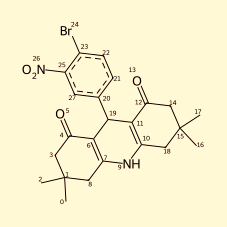 CC1(C)CC(=O)C2=C(C1)NC1=C(C(=O)CC(C)(C)C1)C2c1ccc(Br)c([N+](=O)[O-])c1